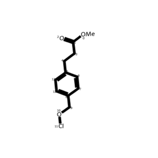 COC(=O)CCc1ccc(COCl)cc1